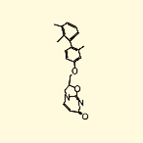 Cc1cc(OCC2Cn3ccc(=O)nc3O2)ccc1-c1cccc(C)c1C